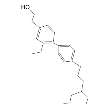 CCCC(CC)CCCc1ccc(-c2ccc(CCO)cc2CC)cc1